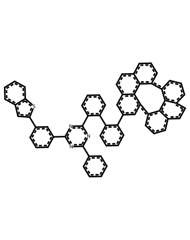 c1ccc(-c2nc(-c3cccc(-c4cc5ccccc5s4)c3)nc(-c3ccccc3-c3ccccc3-c3cc4ccc5cccc6c7cccc8ccc9cccc(c(c3)c4c56)c9c87)n2)cc1